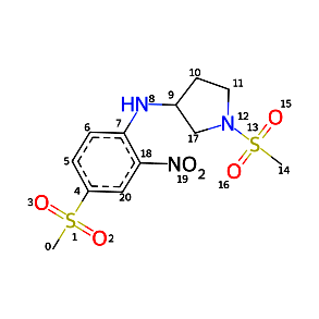 CS(=O)(=O)c1ccc(NC2CCN(S(C)(=O)=O)C2)c([N+](=O)[O-])c1